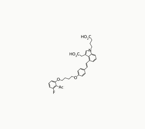 CC(=O)c1c(F)cccc1OCCCCOc1ccc(C=Cc2cccc3c2c(CC(=O)O)cn3CCCC(=O)O)cc1